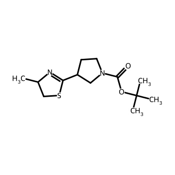 CC1CSC(C2CCN(C(=O)OC(C)(C)C)C2)=N1